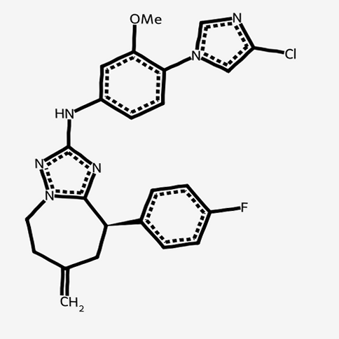 C=C1CCn2nc(Nc3ccc(-n4cnc(Cl)c4)c(OC)c3)nc2[C@@H](c2ccc(F)cc2)C1